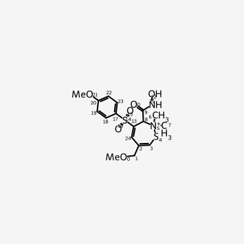 COCC1=CS[N+](C)(C)C(C(=O)NO)C(S(=O)(=O)c2ccc(OC)cc2)=C1